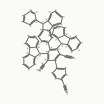 N#Cc1ccc(-c2c(C#N)c(-n3c4ccccc4c4ccccc43)c(-c3ccc4c(c3)c3ccccc3n4-c3ccccc3)c(-n3c4ccccc4c4ccccc43)c2C#N)cc1